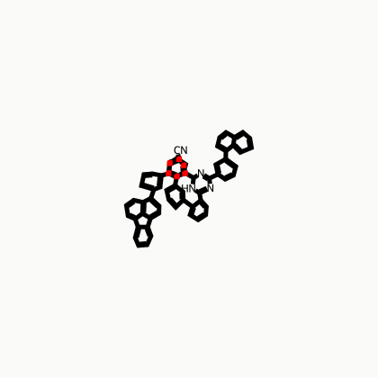 N#Cc1ccc(-c2cccc(-c3ccccc3C3=NC(c4cccc(-c5cccc6ccccc56)c4)=NC(c4ccccc4)N3)c2)c(-c2cccc(-c3ccc4c5c(cccc35)-c3ccccc3-4)c2)c1